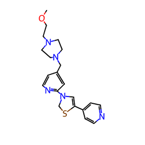 COCCN1CCN(Cc2ccnc(N3C=C(c4ccncc4)SC3)c2)CC1